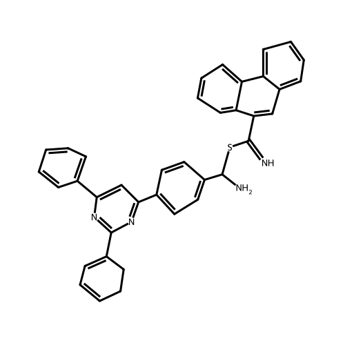 N=C(SC(N)c1ccc(-c2cc(-c3ccccc3)nc(C3=CC=CCC3)n2)cc1)c1cc2ccccc2c2ccccc12